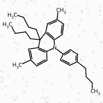 CCCCc1ccc(N2c3ccc(C)cc3C(CCCC)(CCCC)c3cc(C)ccc32)cc1